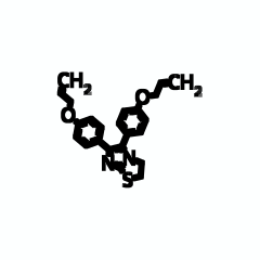 C=CCOc1ccc(-c2nc3n(c2-c2ccc(OCC=C)cc2)CCS3)cc1